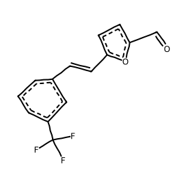 O=Cc1ccc(C=Cc2cccc(C(F)(F)F)c2)o1